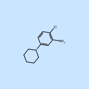 Nc1cc(N2CCCCC2)ccc1Cl